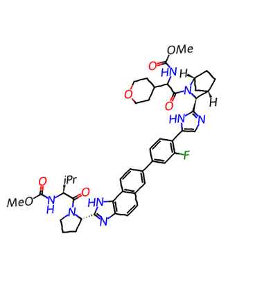 COC(=O)NC(C(=O)N1[C@@H]2CC[C@@H](C2)[C@H]1c1ncc(-c2ccc(-c3ccc4c(ccc5nc([C@@H]6CCCN6C(=O)[C@@H](NC(=O)OC)C(C)C)[nH]c54)c3)cc2F)[nH]1)C1CCOCC1